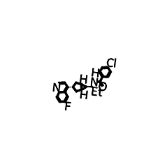 CC[C@@H](NC(=O)c1ccc(Cl)cc1)[C@H]1[C@@H]2C[C@H](c3ccnc4ccc(F)cc34)C[C@@H]21